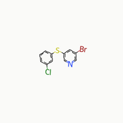 Clc1cccc(Sc2cncc(Br)c2)c1